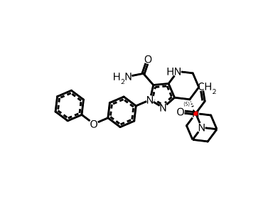 C=CC(=O)N1C2CC1CN([C@H]1CCNc3c1nn(-c1ccc(Oc4ccccc4)cc1)c3C(N)=O)C2